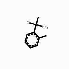 Cc1ccccc1C(C)(N)Cl